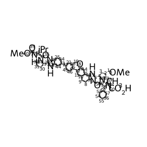 COC[C@H]1C[C@@H](c2nc3ccc4cc5c(cc4c3[nH]2)OCc2cc(-c3ccc4nc([C@@H]6CCCN6C(=O)[C@@H](NC(=O)OC)C(C)C)[nH]c4c3)ccc2-5)N(C(=O)C(c2ccccc2)N(C)C(=O)O)C1